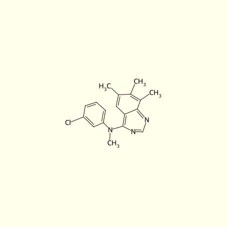 Cc1cc2c(N(C)c3cccc(Cl)c3)ncnc2c(C)c1C